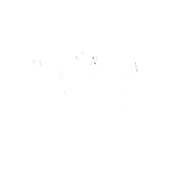 O=[SH](=O)Cl.c1ccc2ncccc2c1